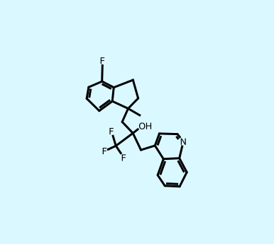 CC1(CC(O)(Cc2ccnc3ccccc23)C(F)(F)F)CCc2c(F)cccc21